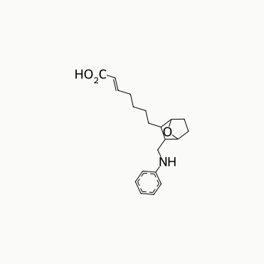 O=C(O)/C=C/CCCCC1C2CCC(O2)C1CNc1ccccc1